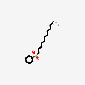 CCCCCCCCC=CCS(=O)(=O)c1ccccc1